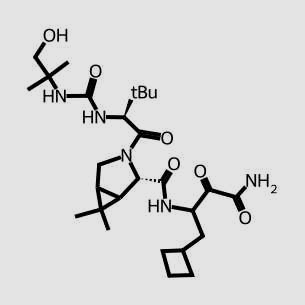 CC(C)(CO)NC(=O)N[C@H](C(=O)N1CC2C([C@H]1C(=O)NC(CC1CCC1)C(=O)C(N)=O)C2(C)C)C(C)(C)C